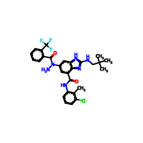 Cc1c(Cl)cccc1NC(=O)c1cc(N(N)C(=O)c2ccccc2C(F)(F)F)cc2[nH]c(NCC(C)(C)C)nc12